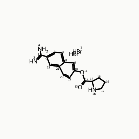 Br.Br.N=C(N)c1ccc2cc(OC(=O)C3CCCN3)ccc2c1